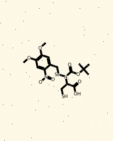 COc1cc(C[Se]N(C(=O)OC(C)(C)C)C(CS)C(=O)O)c([N+](=O)[O-])cc1OC